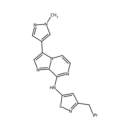 CC(C)Cc1cc(Nc2nccn3c(-c4cnn(C)c4)cnc23)sn1